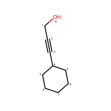 OCC#CC1CCCCC1